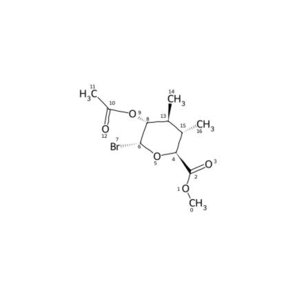 COC(=O)[C@H]1O[C@H](Br)[C@H](OC(C)=O)[C@@H](C)[C@@H]1C